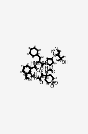 CC(C)(O)c1cnnn1[C@H]1C[C@@H](C(=O)NC2(C(=O)C(N)=O)CCS(=O)(=O)CC2)N(C(=O)C(CC2CCCCC2)NC(=O)c2cccc3cn[nH]c23)C1